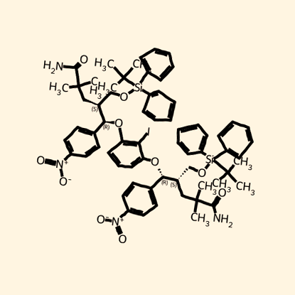 CC(C)(C[C@@H](CO[Si](c1ccccc1)(c1ccccc1)C(C)(C)C)[C@@H](Oc1cccc(O[C@@H](c2ccc([N+](=O)[O-])cc2)[C@H](CO[Si](c2ccccc2)(c2ccccc2)C(C)(C)C)CC(C)(C)C(N)=O)c1I)c1ccc([N+](=O)[O-])cc1)C(N)=O